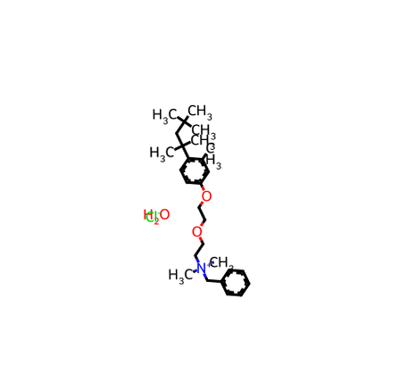 Cc1cc(OCCOCC[N+](C)(C)Cc2ccccc2)ccc1C(C)(C)CC(C)(C)C.O.[Cl-]